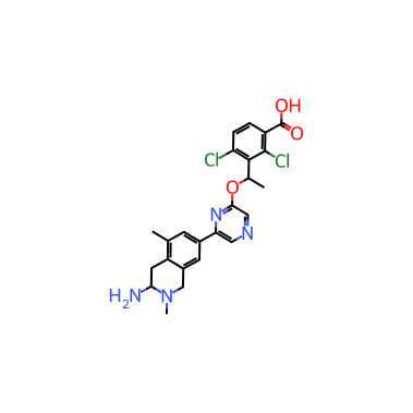 Cc1cc(-c2cncc(OC(C)c3c(Cl)ccc(C(=O)O)c3Cl)n2)cc2c1CC(N)N(C)C2